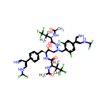 CC(=O)NC(C(=O)N[C@@H](Cc1ccc(/C(C=N)=C/NC(F)F)cc1)[C@@H](O)CN(Cc1c(F)cc(/C(C=N)=C/NC(F)F)cc1F)NC(=O)[C@@H](NC(C)=O)C(C)(C)C(F)(F)F)C(C)(C)C(F)(F)F